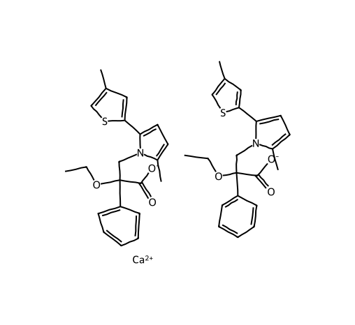 CCOC(Cn1c(C)ccc1-c1cc(C)cs1)(C(=O)[O-])c1ccccc1.CCOC(Cn1c(C)ccc1-c1cc(C)cs1)(C(=O)[O-])c1ccccc1.[Ca+2]